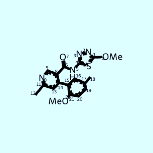 COc1nnc(NC(=O)c2cnc(C)cc2-c2cc(C)ccc2OC)s1